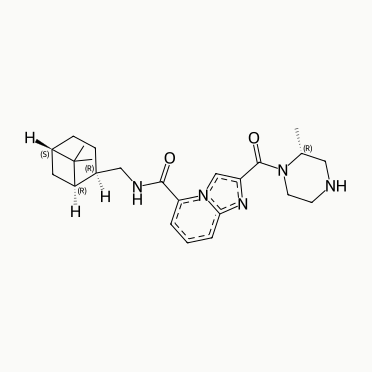 C[C@@H]1CNCCN1C(=O)c1cn2c(C(=O)NC[C@@H]3CC[C@H]4C[C@H]3C4(C)C)cccc2n1